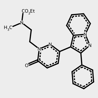 CCOC(=O)N(C)CCn1nc(-c2c(-c3ccccc3)nn3ccccc23)ccc1=O